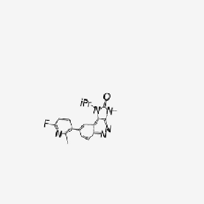 Cc1nc(F)ccc1-c1ccc2nnc3c(c2c1)n(C(C)C)c(=O)n3C